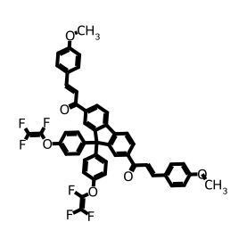 COc1ccc(C=CC(=O)c2ccc3c(c2)C(c2ccc(OC(F)=C(F)F)cc2)(c2ccc(OC(F)=C(F)F)cc2)c2cc(C(=O)C=Cc4ccc(OC)cc4)ccc2-3)cc1